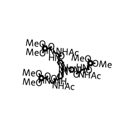 COc1cc(OC)cc(C(=O)NCC[C@H](NC(C)=O)C(=O)NC2CCN(c3nc(N4CCC(NC(=O)[C@H](CCNC(=O)c5cc(OC)cc(OC)c5)NC(C)=O)CC4)nc(N4CCC(NC(=O)[C@H](CCNC(=O)c5cc(OC)cc(OC)c5)NC(C)=O)CC4)n3)CC2)c1